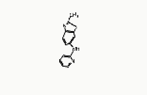 Cc1nc2ccc(Nc3cc[c]cn3)cc2s1